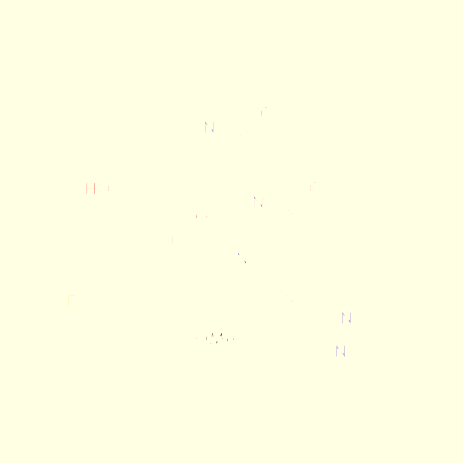 COc1ccc(F)cc1C(Cn1c(=O)n(C(C)(C)C(=O)N2CCCC2)c(=O)c2c(C)c(-n3cccn3)sc21)OCCO